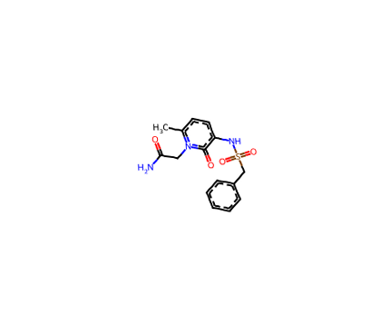 Cc1ccc(NS(=O)(=O)Cc2ccccc2)c(=O)n1CC(N)=O